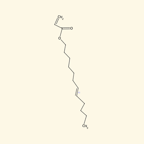 C=CC(=O)OCCCCCC/C=C/CCCC